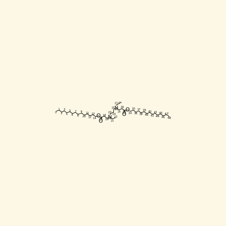 CCCCCCCCCCCCCCCOC(=O)CCN(CC)CCCN(CC)CCC(=O)OCCCCCCCCCCCCCCC